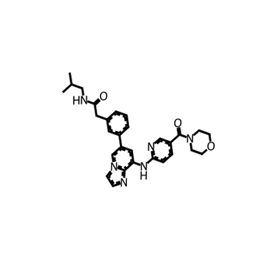 CC(C)CNC(=O)Cc1cccc(-c2cc(Nc3ccc(C(=O)N4CCOCC4)cn3)c3nccn3c2)c1